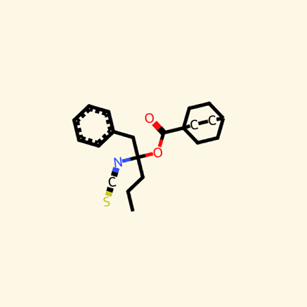 CCCC(Cc1ccccc1)(N=C=S)OC(=O)C12CCC(CC1)CC2